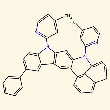 Cc1ccnc(N2c3cc4c(cc3-c3cccc5cccc2c35)c2cc(-c3ccccc3)ccc2n4-c2cc(C)ccn2)c1